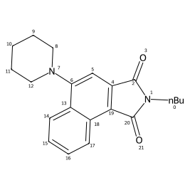 CCCCN1C(=O)c2cc(N3CCCCC3)c3ccccc3c2C1=O